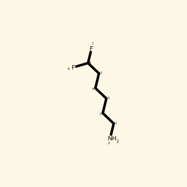 NCCCCCC(F)F